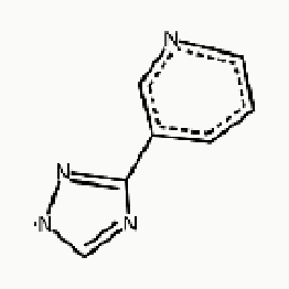 C1=NC(c2cccnc2)=N[N]1